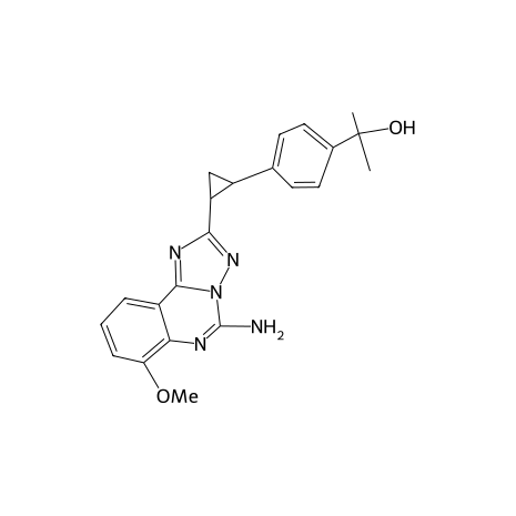 COc1cccc2c1nc(N)n1nc(C3CC3c3ccc(C(C)(C)O)cc3)nc21